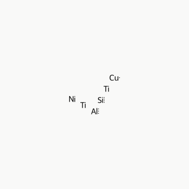 [Al].[Cu].[Ni].[Si].[Ti].[Ti]